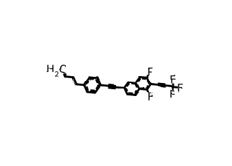 C=CCCc1ccc(C#Cc2ccc3c(F)c(C#CC(F)(F)F)c(F)cc3c2)cc1